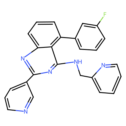 Fc1cccc(-c2cccc3nc(-c4cccnc4)nc(NCc4ccccn4)c23)c1